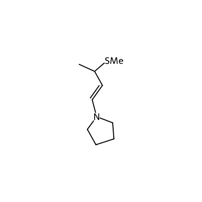 CSC(C)C=CN1CCCC1